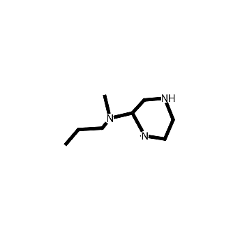 CCCN(C)C1CNCC[N]1